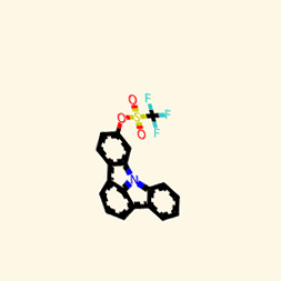 O=S(=O)(Oc1ccc2c3cccc4c5ccccc5n(c2c1)c43)C(F)(F)F